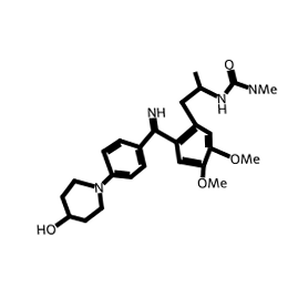 CNC(=O)NC(C)Cc1cc(OC)c(OC)cc1C(=N)c1ccc(N2CCC(O)CC2)cc1